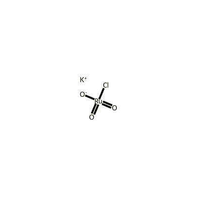 [K+].[O]=[Ru](=[O])([O-])[Cl]